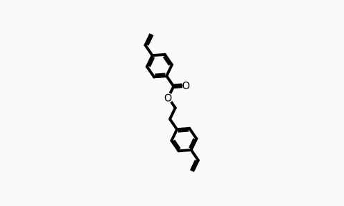 C=Cc1ccc(CCOC(=O)c2ccc(C=C)cc2)cc1